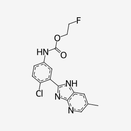 Cc1cnc2nc(-c3cc(NC(=O)OCCF)ccc3Cl)[nH]c2c1